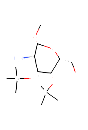 CO[C@@H]1O[C@H](CO)[C@H](O[Si](C)(C)C)[C@H](O[Si](C)(C)C)[C@H]1N